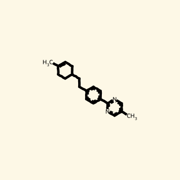 CC1=CCC(CCc2ccc(-c3ncc(C)cn3)cc2)CC1